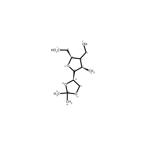 C[C@@H]1C(CO)[C@H](CC(=O)O)OC1[C@H]1COC(C)(C)O1